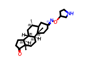 C[C@H]1C[C@@H]2[C@H](CC[C@]3(C)C(=O)CC[C@@H]23)[C@@]2(C)CC/C(=N\OC3CCNC3)CC12